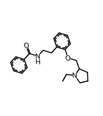 CCN1CCCC1COc1ccccc1CCNC(=O)c1ccccc1